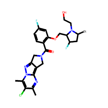 CCC1CC(F)C(COc2cc(F)ccc2C(=O)N2Cc3nn4c(C)c(Cl)c(C)nc4c3C2)N1CCO